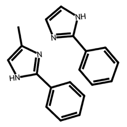 Cc1c[nH]c(-c2ccccc2)n1.c1ccc(-c2ncc[nH]2)cc1